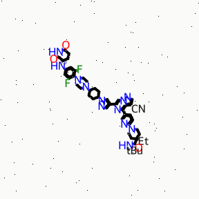 CCC1(C(=O)NC(C)(C)C)CCN(c2ccc(-c3nc(-c4cnn(C5CCC(N6CCN(c7c(F)cc(N[C@@H]8CCC(=O)NC8=O)cc7F)CC6)CC5)c4)cn4ncc(C#N)c34)cn2)CC1